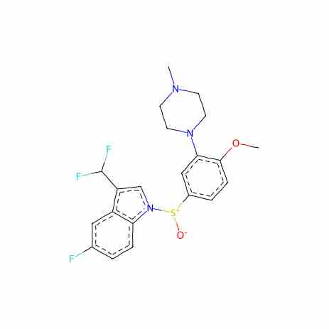 COc1ccc([S+]([O-])n2cc(C(F)F)c3cc(F)ccc32)cc1N1CCN(C)CC1